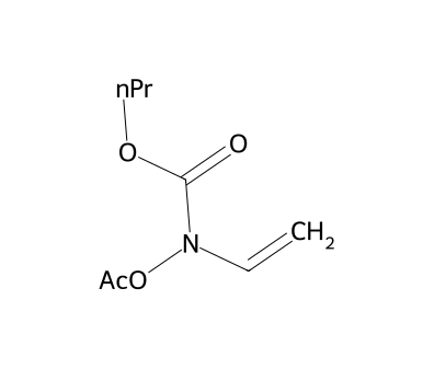 C=CN(OC(C)=O)C(=O)OCCC